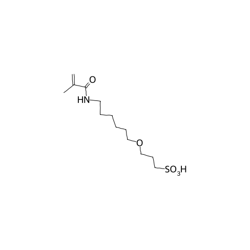 C=C(C)C(=O)NCCCCCCOCCCS(=O)(=O)O